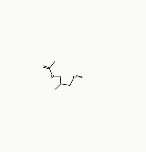 C=C(C)OCC(C)CCCCCC